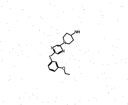 CCOc1cccc(Sc2cnc(N3CCC(NC)CC3)cn2)c1